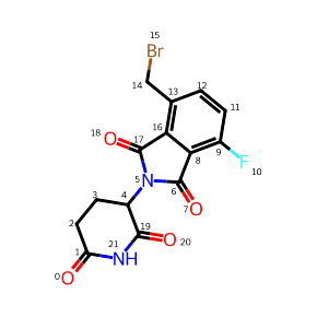 O=C1CCC(N2C(=O)c3c(F)ccc(CBr)c3C2=O)C(=O)N1